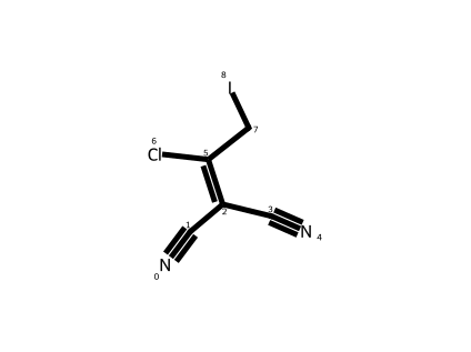 N#CC(C#N)=C(Cl)CI